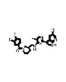 O=C(c1ccc(F)c(F)c1)N1CCCC(CNc2nc(-c3c[nH]c4ncc(Cl)cc34)ncc2F)C1